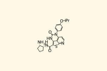 CC(C)Oc1ccc(N2C(=O)Nc3c(C(=O)N[C@@H]4CCC[C@@H]4N)sc4nccc2c34)cc1